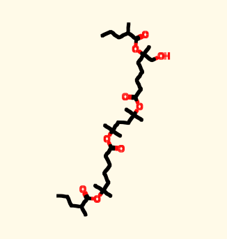 CCCC(C)C(=O)OC(C)(C)CCCCC(=O)OC(C)(C)CCC(C)(C)OC(=O)CCCCC(C)(CO)OC(=O)C(C)CCC